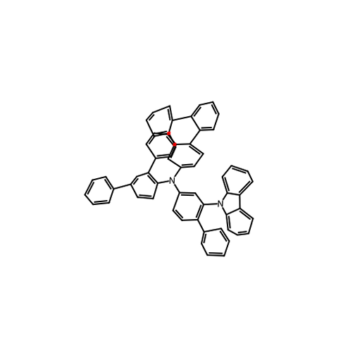 c1ccc(-c2ccc(N(c3ccc(-c4ccccc4)c(-n4c5ccccc5c5ccccc54)c3)c3ccc4c5ccccc5c5ccccc5c4c3)c(-c3ccccc3)c2)cc1